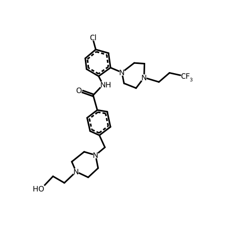 O=C(Nc1ccc(Cl)cc1N1CCN(CCC(F)(F)F)CC1)c1ccc(CN2CCN(CCO)CC2)cc1